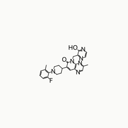 Cc1cnc2cc(C3CCN(c4c(C)cccc4F)CC3)c(=O)n(Cc3nccnc3O)c2n1